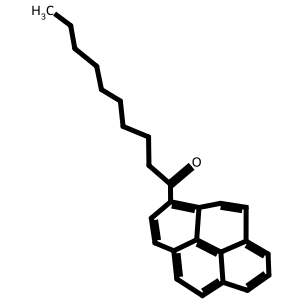 CCCCCCCCCC(=O)c1ccc2ccc3cccc4ccc1c2c34